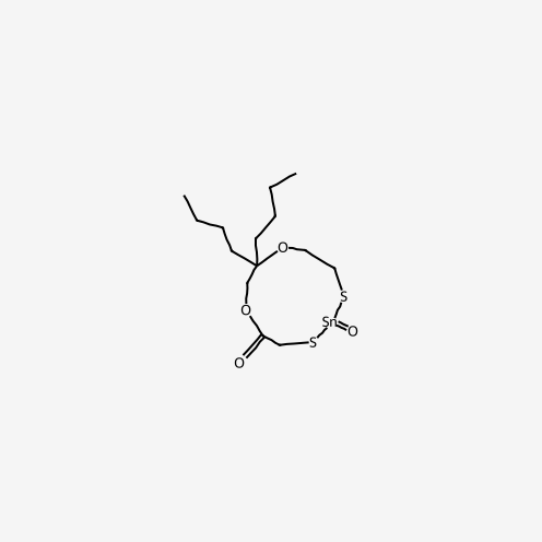 CCCCC1(CCCC)COC(=O)C[S][Sn](=[O])[S]CCO1